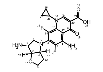 Nc1c(F)c(N2C[C@H](N)[C@H]3OCC[C@H]32)c(F)c2c1c(=O)c(C(=O)O)cn2C1CC1